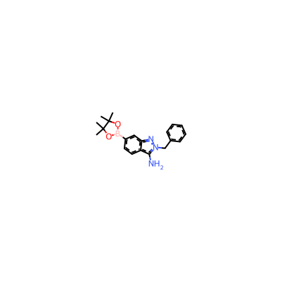 CC1(C)OB(c2ccc3c(N)n(Cc4ccccc4)nc3c2)OC1(C)C